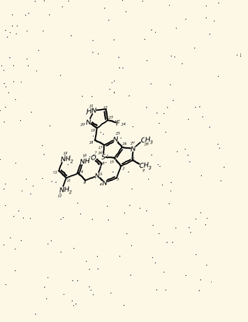 Cc1c(/C=N\N(C=O)CC(=N)/C(N)=C\N)c2sc(Cc3n[nH]cc3F)nc2n1C